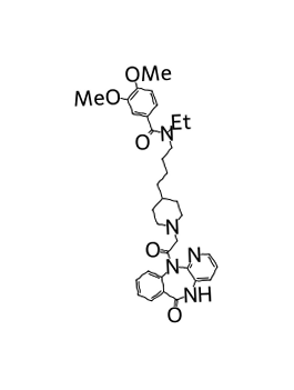 CCN(CCCCC1CCN(CC(=O)N2c3ccccc3C(=O)Nc3cccnc32)CC1)C(=O)c1ccc(OC)c(OC)c1